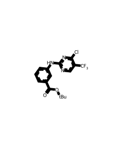 CC(C)(C)OC(=O)c1cccc(Nc2ncc(C(F)(F)F)c(Cl)n2)c1